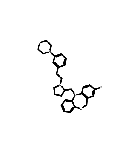 Fc1ccc2c(c1)COc1ccccc1N2CC1CCCN1CCc1cccc(N2CCOCC2)c1